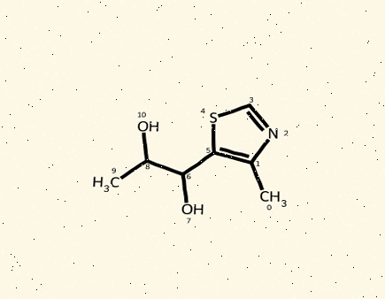 Cc1ncsc1C(O)C(C)O